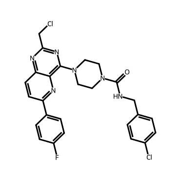 O=C(NCc1ccc(Cl)cc1)N1CCN(c2nc(CCl)nc3ccc(-c4ccc(F)cc4)nc23)CC1